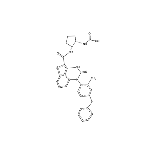 Cc1cc(Oc2ccccc2)ccc1N1C(=O)Nc2c(C(=O)N[C@@H]3CCC[C@@H]3NC(=O)O)sc3nccc1c23